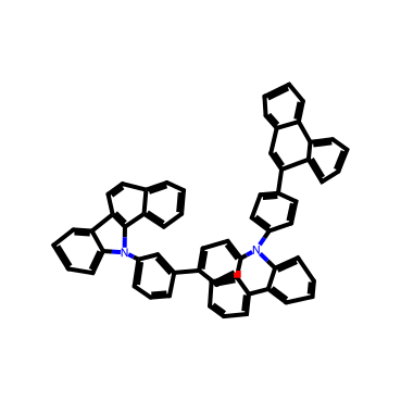 c1ccc(-c2ccccc2N(c2ccc(-c3cccc(-n4c5ccccc5c5ccc6ccccc6c54)c3)cc2)c2ccc(-c3cc4ccccc4c4ccccc34)cc2)cc1